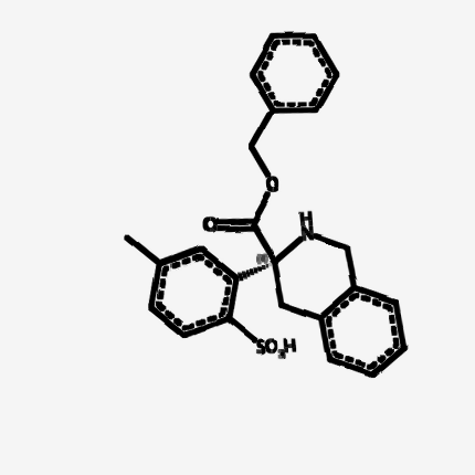 Cc1ccc(S(=O)(=O)O)c([C@@]2(C(=O)OCc3ccccc3)Cc3ccccc3CN2)c1